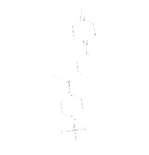 CN1CCN(CCOC(=O)N2CCN(C(F)(F)F)CC2)CC1